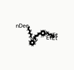 CCCCCCCCCCCCCCCCN1c2ccccc2SC1C=CC=C1C=CN(CCC[N+](CC)(CC)CC)C=C1